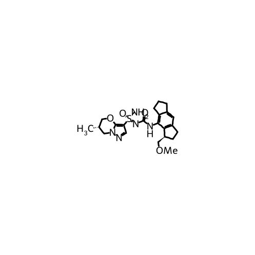 COC[C@@H]1CCc2cc3c(c(NC(=O)N=[S@@](N)(=O)c4cnn5c4OC[C@@H](C)C5)c21)CCC3